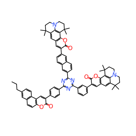 CCCc1ccc2c(ccc3oc(=O)c(-c4ccc(-c5nc(-c6cccc(-c7cc8cc9c%10c(c8oc7=O)C(C)(C)CCN%10CCC9(C)C)c6)nc(-c6ccc7cc(-c8cc9cc%10c%11c(c9oc8=O)C(C)(C)CCN%11CCC%10(C)C)ccc7c6)n5)cc4)cc32)c1